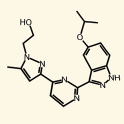 Cc1cc(-c2ccnc(-c3n[nH]c4ccc(OC(C)C)cc34)n2)nn1CCO